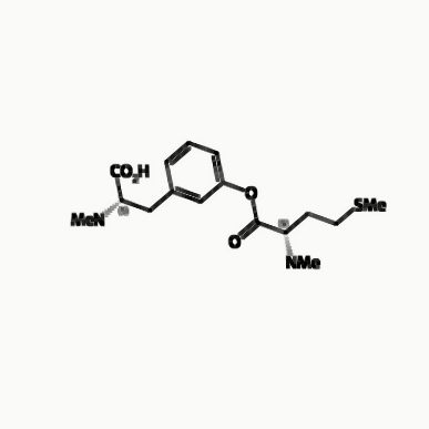 CN[C@@H](Cc1cccc(OC(=O)[C@H](CCSC)NC)c1)C(=O)O